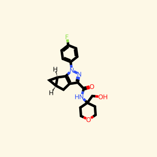 O=C(NC1(CO)CCOCC1)c1nn(-c2ccc(F)cc2)c2c1C[C@H]1C[C@@H]21